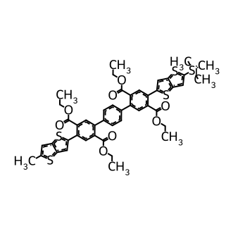 CCOC(=O)c1cc(-c2cc3sc(C)cc3s2)c(C(=O)OCC)cc1-c1ccc(-c2cc(C(=O)OCC)c(-c3cc4sc([Si](C)(C)C)cc4s3)cc2C(=O)OCC)cc1